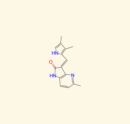 Cc1ccc2c(n1)C(=Cc1[nH]cc(C)c1C)C(=O)N2